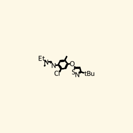 CCN(C)C=Nc1cc(C)c(Oc2cc(C(C)(C)C)ns2)cc1Cl